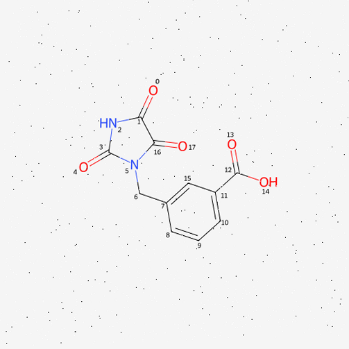 O=C1NC(=O)N(Cc2cccc(C(=O)O)c2)C1=O